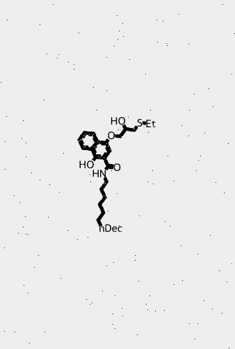 CCCCCCCCCCCCCCCCNC(=O)c1cc(OCC(O)CSCC)c2ccccc2c1O